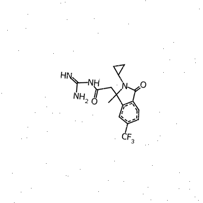 CC1(CC(=O)NC(=N)N)c2cc(C(F)(F)F)ccc2C(=O)N1C1CC1